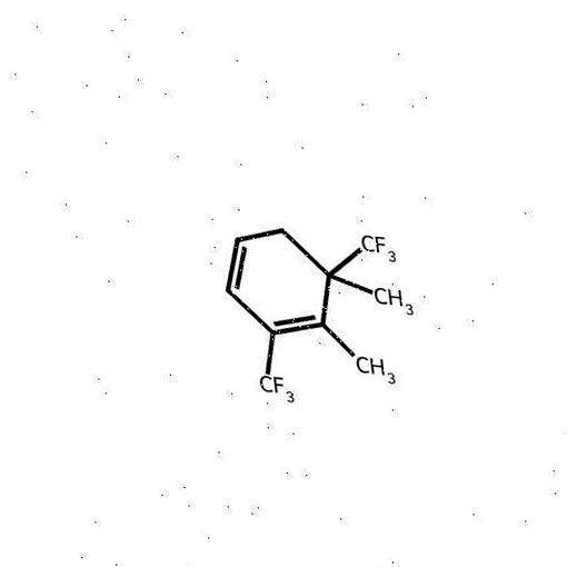 CC1=C(C(F)(F)F)C=CCC1(C)C(F)(F)F